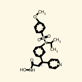 COc1ccc(S(=O)(=O)N(c2cccc(/C(=C\C(=O)NO)c3ccncc3)c2)C(C)C)cc1